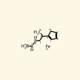 BBBCC(C)C1=CC=CC1.[Fe]